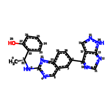 C[C@@H](Nc1ncc2cc(-c3ncnc4[nH]ncc34)ccc2n1)c1ccccc1O